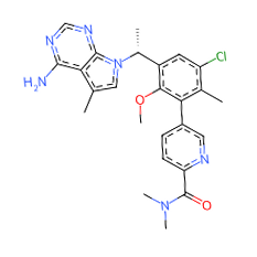 COc1c([C@@H](C)n2cc(C)c3c(N)ncnc32)cc(Cl)c(C)c1-c1ccc(C(=O)N(C)C)nc1